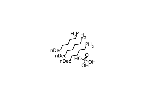 CCCCCCCCCCCCCCP.CCCCCCCCCCCCCCP.CCCCCCCCCCCCCCP.O=P(O)(O)O